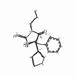 CCCN1C(=N)NC(c2ccccc2)(C2CCCC2)C1=O